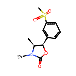 CC(C)N1C(=O)O[C@H](c2cccc(S(C)(=O)=O)c2)[C@@H]1C